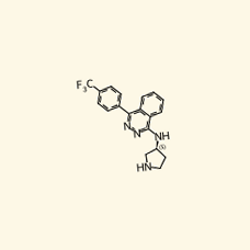 FC(F)(F)c1ccc(-c2nnc(N[C@H]3CCNC3)c3ccccc23)cc1